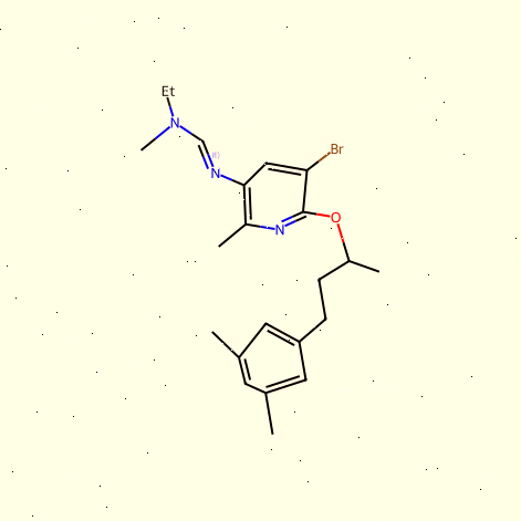 CCN(C)/C=N/c1cc(Br)c(OC(C)CCc2cc(C)cc(C)c2)nc1C